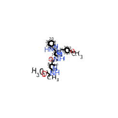 COCC(C)Nc1ccc(C(=O)Nc2cc(-c3nc4ccccc4[nH]3)n(Cc3ccc(OC)cc3)n2)cn1